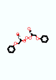 O=C=C(COc1ccccc1)OOOC(=C=O)COc1ccccc1